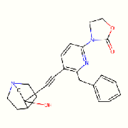 O=C1OCCN1c1ccc(C#CC2(O)CN3CCC2CC3)c(Cc2ccccc2)n1